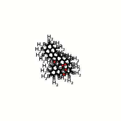 Bc1c(B)c(B)c(-c2c(B)c(B)c(B)c(-c3c(B)c(B)c(-c4c(B)c(B)c5c(B)c(B)c6c(B)c(B)c(B)c7c(B)c(B)c4c5c67)c(B)c3-c3c(B)c(B)c4c(B)c(B)c5c(B)c(B)c(B)c6c(B)c(B)c3c4c56)c2B)c(B)c1B